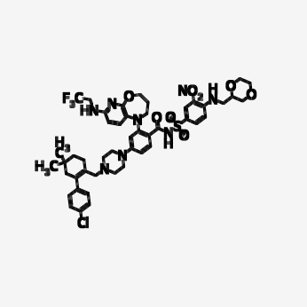 CC1(C)CCC(CN2CCN(c3ccc(C(=O)NS(=O)(=O)c4ccc(NCC5COCCO5)c([N+](=O)[O-])c4)c(N4CCCOc5nc(NCC(F)(F)F)ccc54)c3)CC2)=C(c2ccc(Cl)cc2)C1